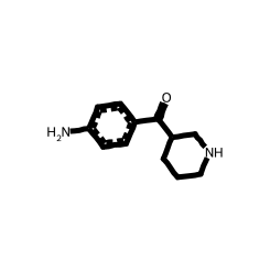 Nc1ccc(C(=O)C2CCCNC2)cc1